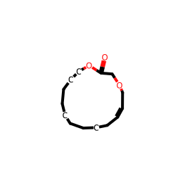 O=C1COC/C=C\CCCCCCCCCO1